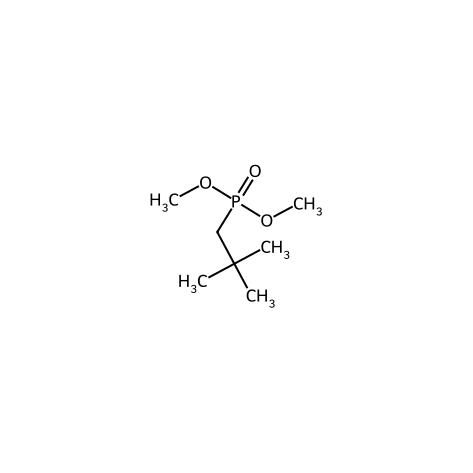 COP(=O)(CC(C)(C)C)OC